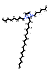 CCCCCCCCCCCCCCCCCc1n(CCCCCC)cc[n+]1CCCCCCCC